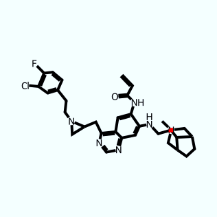 C=CC(=O)Nc1cc2c(CC3CN3CCc3ccc(F)c(Cl)c3)ncnc2cc1NCCC1C2CCC1CN(C)C2